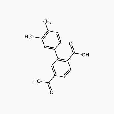 Cc1ccc(-c2cc(C(=O)O)ccc2C(=O)O)cc1C